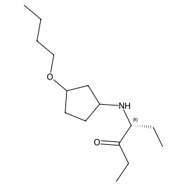 CCCCOC1CCC(N[C@H](CC)C(=O)CC)C1